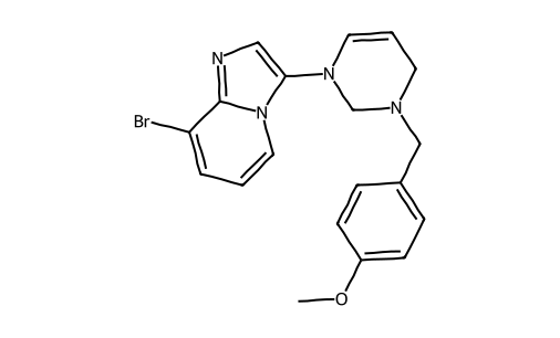 COc1ccc(CN2CC=CN(c3cnc4c(Br)cccn34)C2)cc1